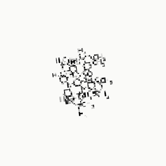 Cc1cc2c(cc1N1c3cc4c(cc3B3c5oc6cc7c(cc6c5N(c5ccc6c(c5)C(C)(C)CCC6(C)C)c5cc(N(c6ccccc6)c6ccc(C(C)(C)C)cc6)cc1c53)C(C)(C)CCC7(C)C)C(C)(C)CCC4(C)C)C(C)(C)CCC2(C)C